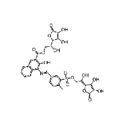 Cc1ccc(/N=N/c2c(O)c(C(=O)OCC(O)C3OC(=O)C(O)=C3O)cc3ccccc23)cc1S(=O)(=O)OC/C(O)=C1\OC(=O)C(O)=C1O